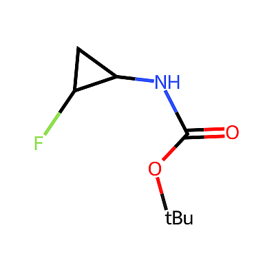 CC(C)(C)OC(=O)NC1CC1F